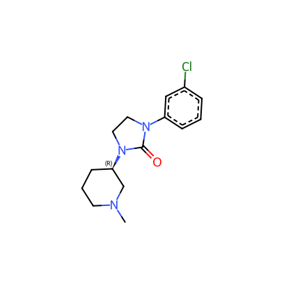 CN1CCC[C@@H](N2CCN(c3cccc(Cl)c3)C2=O)C1